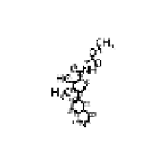 CCOC(=O)CNC(=O)c1ncc(-c2ccc3cnccc3c2)c(C)c1O